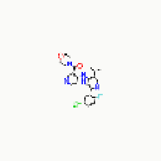 CC(C)c1cnc(-c2cc(Cl)ccc2F)cc1Nc1ccncc1C(=O)N1CCOCC1